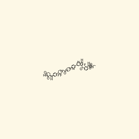 CCN(C)S(=O)(=O)Nc1cccc(C(=O)c2c[nH]c3ncc(-c4ccc(N5CCN(C(=O)CN6CCC(c7ccc(NC8CCC(=O)NC8=O)cc7)C(F)(F)C6)CC5)nc4)cc23)c1F